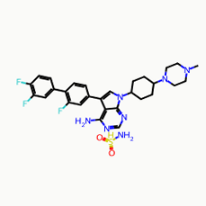 CN1CCN(C2CCC(n3cc(-c4ccc(-c5ccc(F)c(F)c5)c(F)c4)c4c(N)ncnc43)CC2)CC1.N[SH](=O)=O